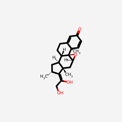 C[C@@H]1C[C@H]2[C@@H]3CCC4=CC(=O)C=C[C@]4(C)[C@@]34O[C@H]4C[C@]2(C)C1=C(O)CO